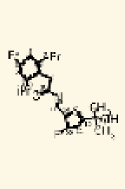 CC(C)c1cc(F)cc(C(C)C)c1CC(=O)N=Cc1sc(C(C)(C)O)cc1F